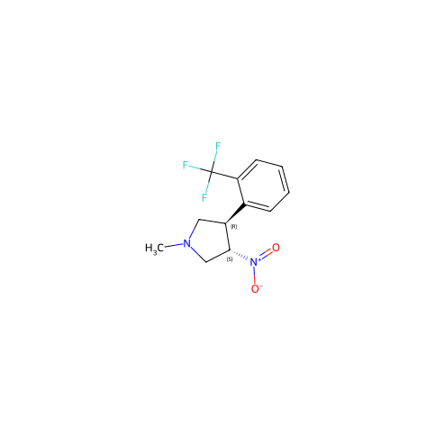 CN1C[C@@H]([N+](=O)[O-])[C@H](c2ccccc2C(F)(F)F)C1